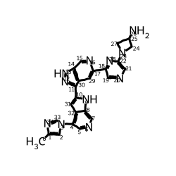 Cc1cn(-c2cncc3[nH]c(-c4n[nH]c5cnc(-c6cncc(N7CC(N)C7)n6)cc45)cc23)cn1